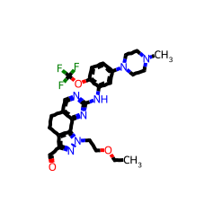 CCOCCn1nc(C=O)c2c1-c1nc(Nc3cc(N4CCN(C)CC4)ccc3OC(F)(F)F)ncc1CC2